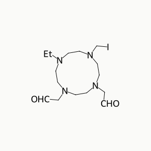 CCN1CCN(CI)CCN(CC=O)CCN(CC=O)CC1